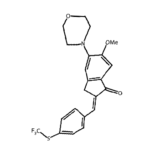 COc1cc2c(cc1N1CCOCC1)CC(=Cc1ccc(SC(F)(F)F)cc1)C2=O